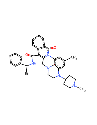 CC[C@H](NC(=O)c1c(CN2CCN(C3CCN(C)CC3)CC2)n(-c2cccc(C)c2)c(=O)c2ccccc12)c1ccccc1